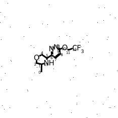 CC1COCC(c2ccc(OCC(F)(F)F)nn2)N1